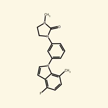 Cc1ccc(F)c2ccn(-c3cccc(N4CCN(C)C4=O)c3)c12